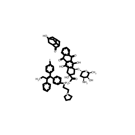 CC(=O)[C@]1(O)Cc2c(O)c3c(c(O)c2[C@@H](O[C@H]2C[C@H](N)[C@H](O)[C@H](C)O2)C1)C(=O)c1ccccc1C3=O.CC/C(=C(\c1ccc(I)cc1)c1ccc(OCCN2CCCC2)cc1)c1ccccc1.O=C1C2CC3CC1CC(O)(C3)C2